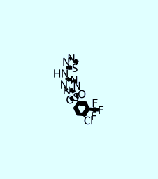 O=S(=O)(c1ccc(Cl)c(C(F)(F)F)c1)c1nnc(Nc2nncs2)nn1